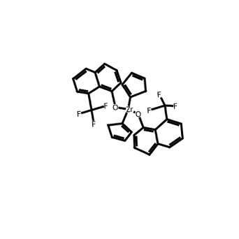 FC(F)(F)c1cccc2cccc([O][Zr]([O]c3cccc4cccc(C(F)(F)F)c34)([C]3=CC=CC3)[C]3=CC=CC3)c12